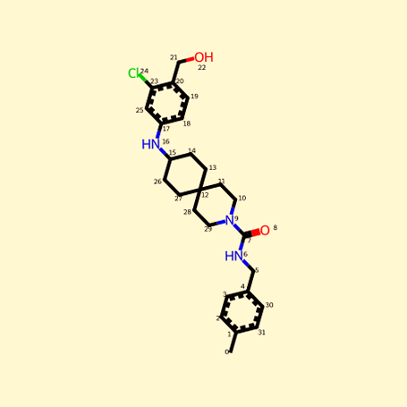 Cc1ccc(CNC(=O)N2CCC3(CCC(Nc4ccc(CO)c(Cl)c4)CC3)CC2)cc1